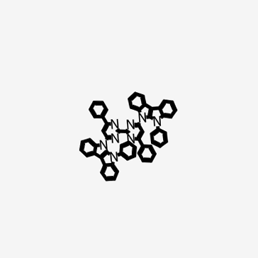 c1ccc(-c2cc(-n3c4ccccc4c4c5ccccc5n(-c5ccccc5)c43)nc(-c3nc(-c4ccccc4)cc(-n4c5ccccc5c5c6ccccc6n(-c6ccccc6)c54)n3)n2)cc1